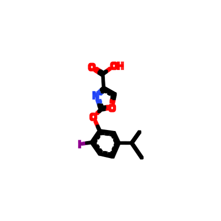 CC(C)c1ccc(I)c(Oc2nc(C(=O)O)co2)c1